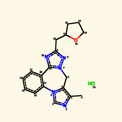 Cc1ncn2c1Cn1nc(CC3CCCO3)nc1-c1ccccc1-2.Cl